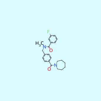 CN(Cc1ccc(C(=O)N2CCCCCC2)cc1)C(=O)c1cccc(F)c1